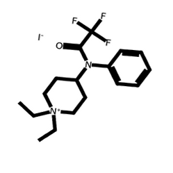 CC[N+]1(CC)CCC(N(C(=O)C(F)(F)F)c2ccccc2)CC1.[I-]